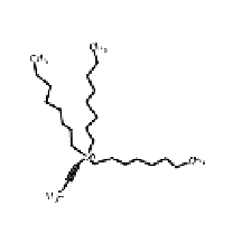 CC#[C][Sn]([CH2]CCCCCCC)([CH2]CCCCCCC)[CH2]CCCCCCC